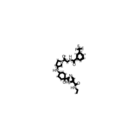 CCNC(=O)c1cnc(C2(O)CCC(NC3CCN(C(=O)CNC(=O)c4cccc(C(F)(F)F)c4)C3)CC2)s1